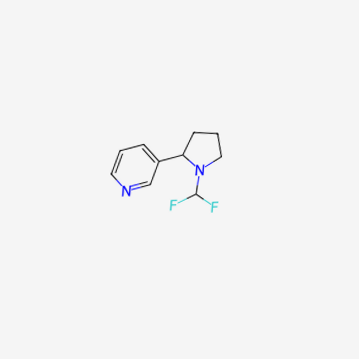 FC(F)N1CCCC1c1cccnc1